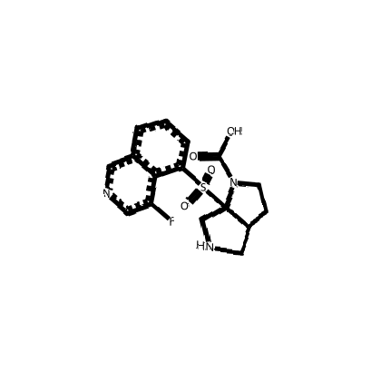 O=C(O)N1CCC2CNCC21S(=O)(=O)c1cccc2cncc(F)c12